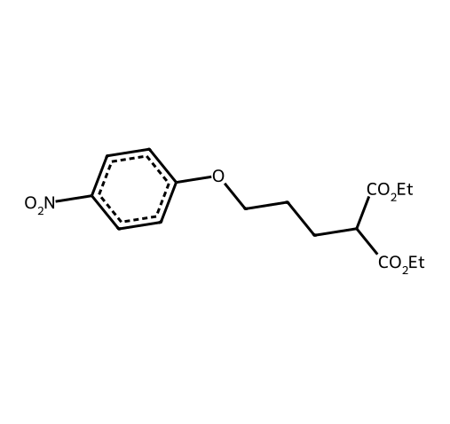 CCOC(=O)C(CCCOc1ccc([N+](=O)[O-])cc1)C(=O)OCC